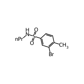 CCCNS(=O)(=O)c1ccc(C)c(Br)c1